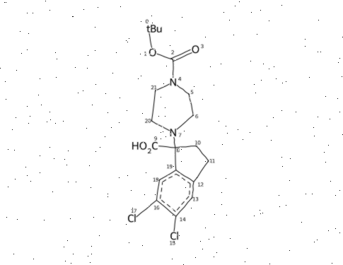 CC(C)(C)OC(=O)N1CCN(C2(C(=O)O)CCc3cc(Cl)c(Cl)cc32)CC1